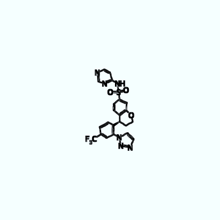 O=S(=O)(Nc1ccncn1)c1ccc2c(c1)OCC[C@H]2c1ccc(C(F)(F)F)cc1-n1ccnn1